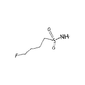 [NH]S(=O)(=O)CCCCF